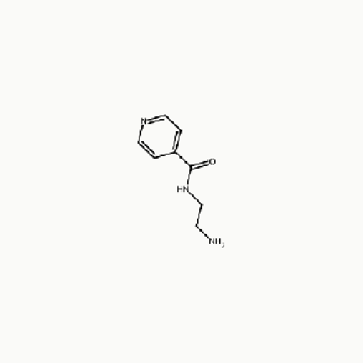 NCCNC(=O)c1ccncc1